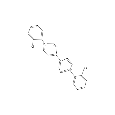 CC(C)c1ccccc1-[n+]1ccc(-c2cc[n+](-c3ccccc3Cl)cc2)cc1